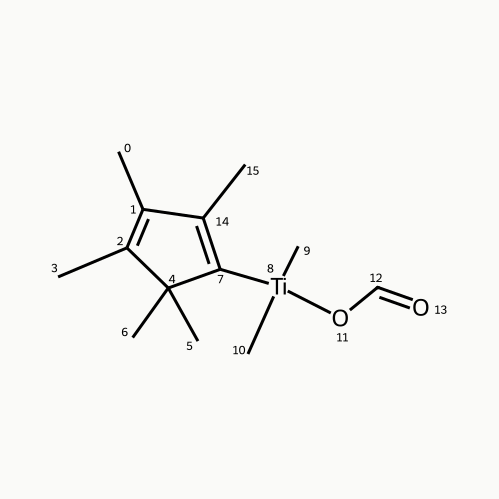 CC1=C(C)C(C)(C)[C]([Ti]([CH3])([CH3])[O]C=O)=C1C